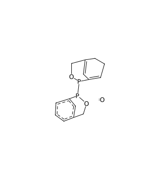 C1=C2CCC=C1P(P1OCc3cccc1c3)OC2.[O]